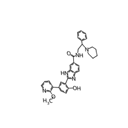 COc1ncccc1-c1ccc(O)c(-c2nc3ccc(C(=O)NCC(c4ccccc4)N4CCCCC4)cc3[nH]2)c1